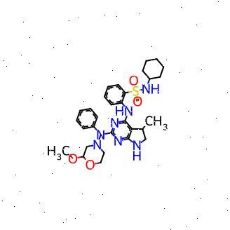 COC1CN(N(c2ccccc2)c2nc3c(c(Nc4ccccc4S(=O)(=O)NC4CCCCC4)n2)C(C)CN3)CCO1